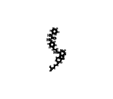 CN(C)CCCN1CCc2c(sc3ncnc(NCCc4ccc(NC(=O)Nc5ccccc5)cc4)c23)C1